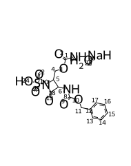 NC(=O)OCC1C(NC(=O)OCc2ccccc2)C(=O)N1S(=O)(=O)O.O.[NaH]